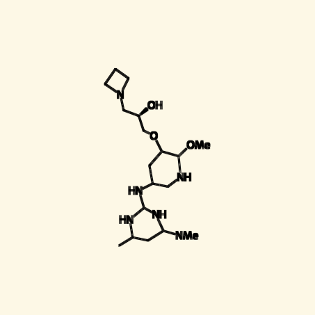 CNC1CC(C)NC(NC2CNC(OC)C(OC[C@H](O)CN3CCC3)C2)N1